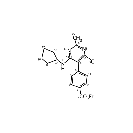 CCOC(=O)c1ccc(-c2c(Cl)nc(C)nc2NC2CCCC2)cc1